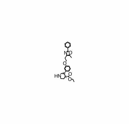 CCOC(=O)[C@H]1CCNC[C@H]1c1cccc(OCCc2nc(-c3ccccc3)oc2C)c1